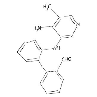 Cc1cncc(Nc2ccccc2-c2ccccc2C=O)c1N